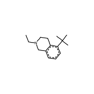 CCN1CCc2c(cccc2C(C)(C)C)C1